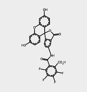 O=C1OC2(c3ccc(O)cc3Oc3cc(O)ccc32)c2ccc(NC(=O)c3c(F)c(F)c(F)c(F)c3C(=O)O)cc21